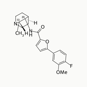 COc1cc(-c2ccc(C(=O)N[C@@H]3C4CCN(CC4)[C@H]3C)o2)ccc1F